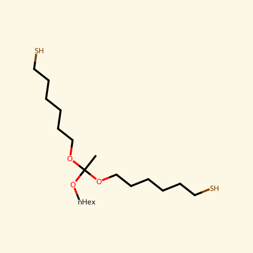 CCCCCCOC(C)(OCCCCCCS)OCCCCCCS